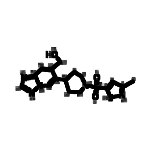 Cc1cc(S(=O)(=O)N2CCC(c3cn4ncnc4cc3CO)CC2)sn1